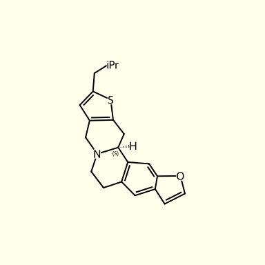 CC(C)Cc1cc2c(s1)C[C@H]1c3cc4occc4cc3CCN1C2